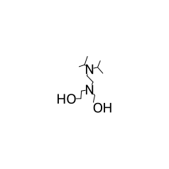 CC(C)N(CCN(CCO)CCO)C(C)C